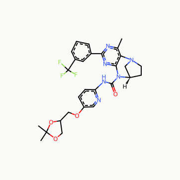 Cc1nc(-c2cccc(C(F)(F)F)c2)nc2c1N1CC[C@@H](C1)N2C(=O)Nc1ccc(OCC2COC(C)(C)O2)cn1